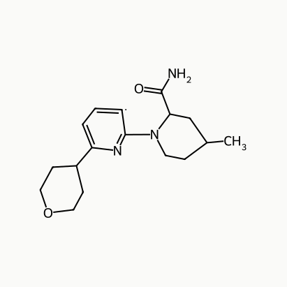 CC1CCN(c2[c]ccc(C3CCOCC3)n2)C(C(N)=O)C1